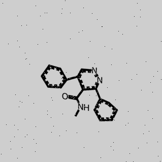 CNC(=O)c1c(-c2ccccc2)cnnc1-c1ccccc1